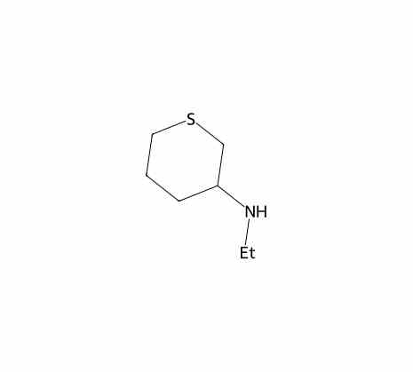 CCNC1CCCSC1